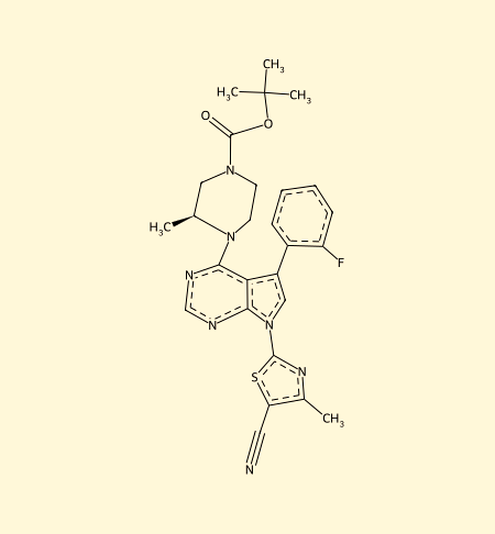 Cc1nc(-n2cc(-c3ccccc3F)c3c(N4CCN(C(=O)OC(C)(C)C)C[C@@H]4C)ncnc32)sc1C#N